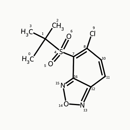 CC(C)(C)S(=O)(=O)c1c(Cl)ccc2nonc12